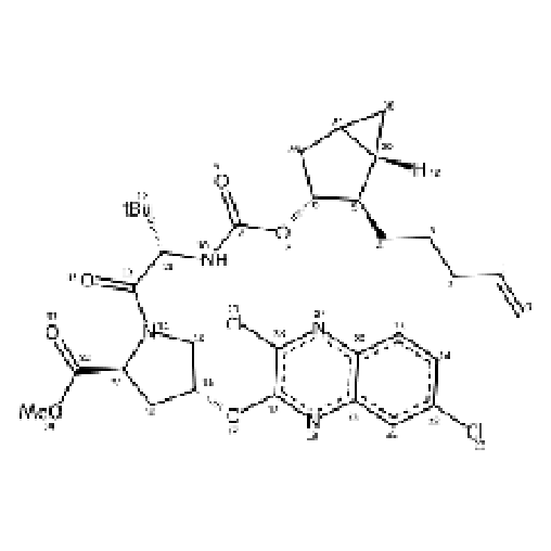 C=CCCC[C@H]1[C@H](OC(=O)N[C@H](C(=O)N2C[C@H](Oc3nc4cc(Cl)ccc4nc3Cl)C[C@H]2C(=O)OC)C(C)(C)C)CC2C[C@@H]21